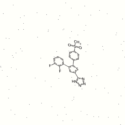 CS(=O)(=O)c1ccc(-c2sc(-c3nnn[nH]3)cc2-c2cccc(F)c2F)cc1